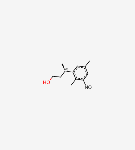 Cc1cc(N=O)c(C)c([C@H](C)CCO)c1